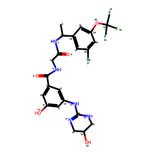 CC(NC(=O)CNC(=O)c1cc(O)cc(NC2=NCC(O)CN2)c1)c1cc(Br)cc(OC(F)(F)F)c1